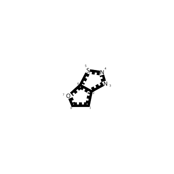 c1cc2nnsc2o1